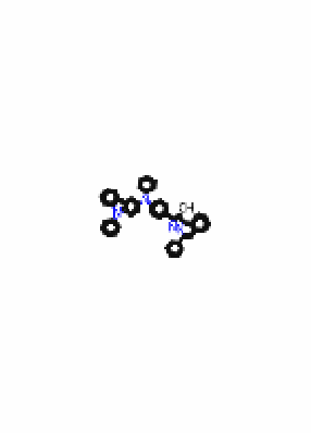 Cc1c(-c2ccc(N(c3ccccc3)c3ccc4c(c3)c3ccccc3n4-c3ccccc3)cc2)nn2c(-c3ccccc3)cc3ccccc3c12